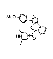 COc1ccc(-c2ncc3n2CN(C(=O)N2CC(C)NC(C)C2)c2ccccc2-3)cc1